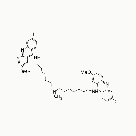 COc1ccc2nc3cc(Cl)ccc3c(NCCCCCCCN(C)CCCCCCCNc3c4ccc(Cl)cc4nc4ccc(OC)cc34)c2c1